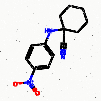 N#CC1(Nc2ccc([N+](=O)[O-])cc2)CCCCC1